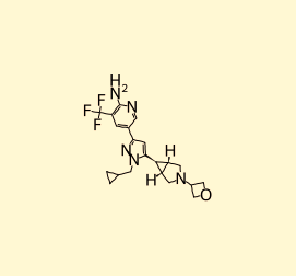 Nc1ncc(-c2cc([C@H]3[C@@H]4CN(C5COC5)C[C@@H]43)n(CC3CC3)n2)cc1C(F)(F)F